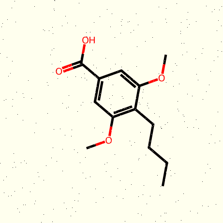 CCCCc1c(OC)cc(C(=O)O)cc1OC